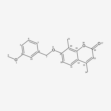 COc1cccc(COc2ccc3c(C)[c]c(=O)oc3c2C)c1